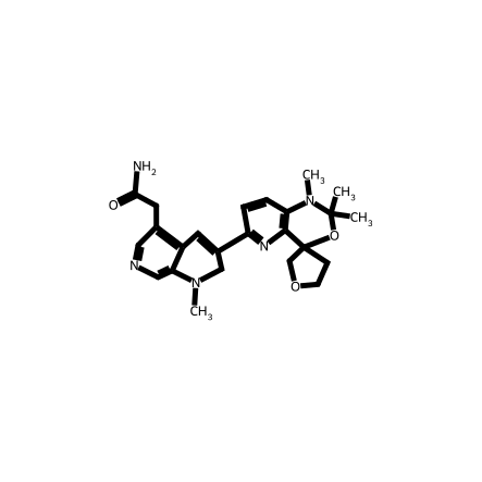 CN1CC(c2ccc3c(n2)C2(CCOC2)OC(C)(C)N3C)=Cc2c(CC(N)=O)cncc21